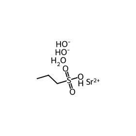 CCCS(=O)(=O)O.O.[OH-].[OH-].[Sr+2]